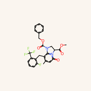 COC(=O)C1CN(C(=O)OCc2ccccc2)c2c(Cc3c(F)cccc3C(F)(F)F)c(C)cc(=O)n21